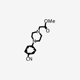 COC(=O)CN1CCN(c2ccc(C#N)cc2)CC1